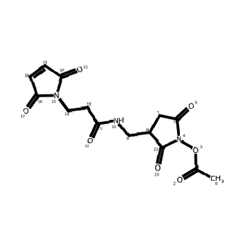 CC(=O)ON1C(=O)CC(CNC(=O)CCN2C(=O)C=CC2=O)C1=O